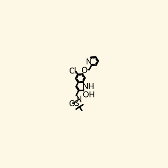 CC(C)(C)[S+]([O-])/N=C/C1=Cc2cc(Cl)c(OCc3ccccn3)cc2NC1O